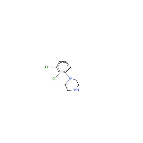 Clc1cccc(N2[CH]CNCC2)c1Cl